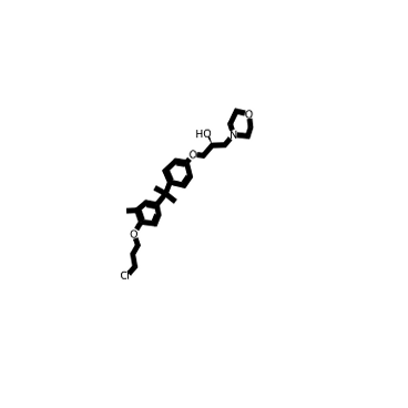 Cc1cc(C(C)(C)c2ccc(OC[C@H](O)CN3CCOCC3)cc2)ccc1OCCCCl